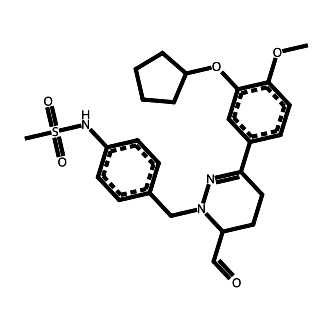 COc1ccc(C2=NN(Cc3ccc(NS(C)(=O)=O)cc3)C(C=O)CC2)cc1OC1CCCC1